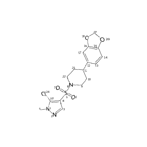 Cn1ncc(S(=O)(=O)N2CCC(c3ccc4c(c3)OCO4)CC2)c1Cl